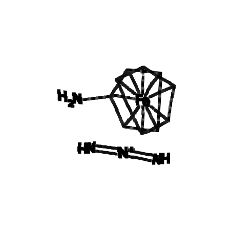 N=[N+]=N.N[C]12[CH]3[CH]4[CH]5[CH]1[Fe]45321678[CH]2[CH]1[CH]6[CH]7[CH]28